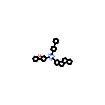 c1ccc(-c2ccc(-c3nc(-c4ccc5c(c4)oc4ccccc45)nc(-c4ccc5ccc6c7ccccc7ccc6c5c4)n3)cc2)cc1